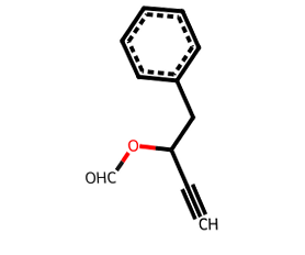 C#CC(Cc1ccccc1)OC=O